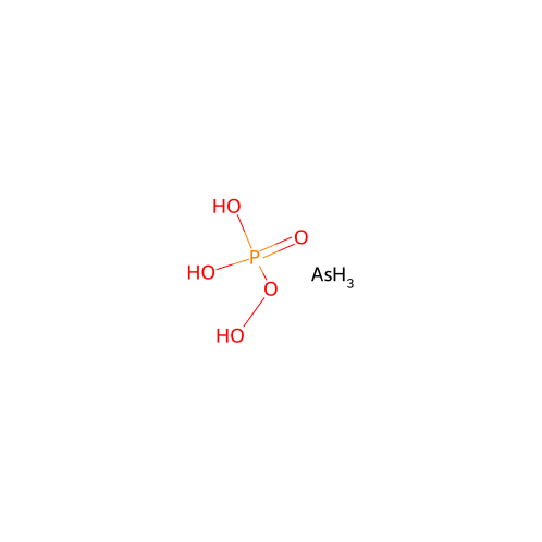 O=P(O)(O)OO.[AsH3]